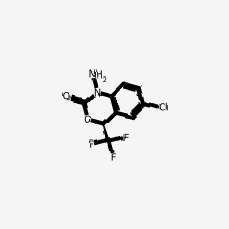 NN1C(=O)O[C@H](C(F)(F)F)c2cc(Cl)ccc21